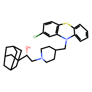 O[C@H](CN1CCC(CN2c3ccccc3Sc3ccc(Cl)cc32)CC1)C12CC3CC(CC(C3)C1)C2